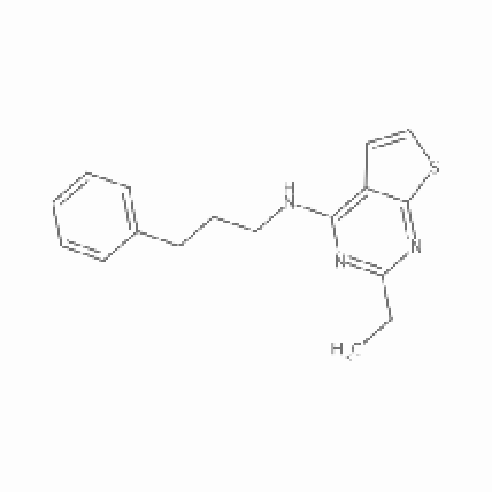 CCc1nc(NCCCc2ccccc2)c2ccsc2n1